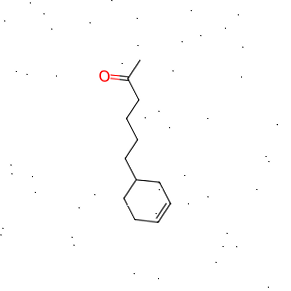 CC(=O)CCCCC1CC=CCC1